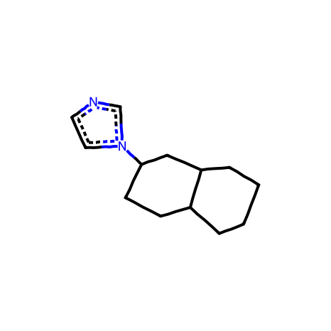 c1cn(C2CCC3CCCCC3C2)cn1